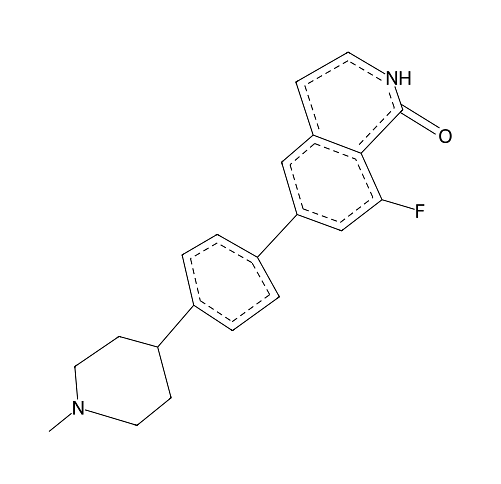 CN1CCC(c2ccc(-c3cc(F)c4c(=O)[nH]ccc4c3)cc2)CC1